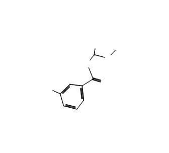 C=C(OC(CCC)OC(C)C)c1cccc(C)c1